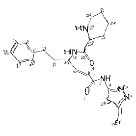 CCc1nnc(NC(=O)/C=C/[C@H](CCc2ccccc2)NC(=O)[C@@H]2CCCCN2)s1